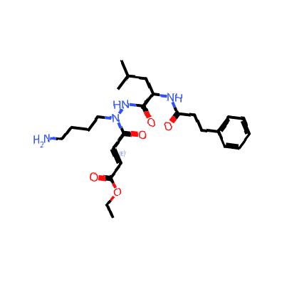 CCOC(=O)/C=C/C(=O)N(CCCCN)NC(=O)C(CC(C)C)NC(=O)CCc1ccccc1